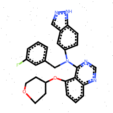 Fc1cccc(CN(c2ccc3[nH]ncc3c2)c2ncnc3cccc(OC4CCOCC4)c23)c1